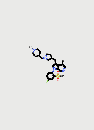 CC(=O)N1CCC(CN2CCC(Cc3cn(-c4ccc(F)cc4S(=O)(=O)C(C)C)c4cncc(C)c34)C2)CC1